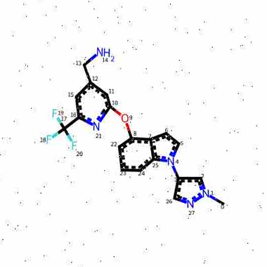 Cn1cc(-n2ccc3c(Oc4cc(CN)cc(C(F)(F)F)n4)cccc32)cn1